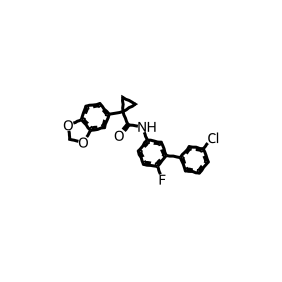 O=C(Nc1ccc(F)c(-c2cccc(Cl)c2)c1)C1(c2ccc3c(c2)OCO3)CC1